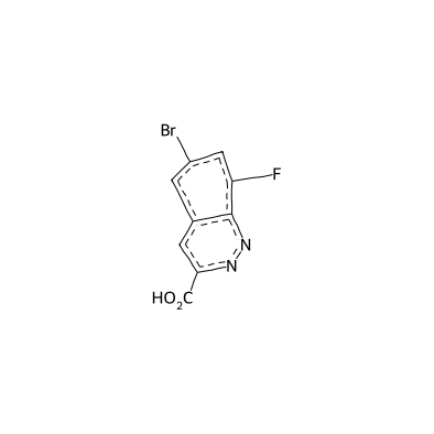 O=C(O)c1cc2cc(Br)cc(F)c2nn1